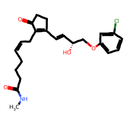 CNC(=O)CCC/C=C\CC1=C(/C=C/[C@@H](O)COc2cccc(Cl)c2)CCC1=O